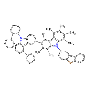 Bc1c(B)c(B)c2c(c1B)c1c(B)c(-c3ccc4c(c3)c3c(-c5ccccc5)cccc3n4-c3ccccc3-c3ccccc3)c(B)c(B)c1n2-c1ccc2sc3ccccc3c2c1